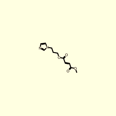 COC(=O)/C=C/C(=O)OCCCn1ccnc1